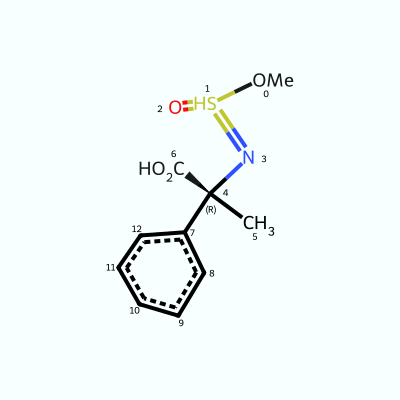 CO[SH](=O)=N[C@@](C)(C(=O)O)c1ccccc1